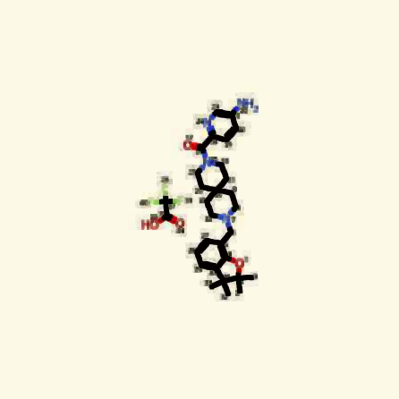 CC1(C)Oc2c(CN3CCC4(CC3)CCN(C(=O)c3ccc(N)cn3)CC4)cccc2C1(C)C.O=C(O)C(F)(F)F